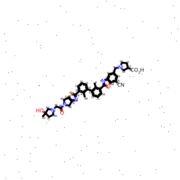 Cc1c(-c2nc3cc(CN4CCC(C(=O)O)C4)cc(C#N)c3o2)cccc1-c1cccc(-c2nc3c(s2)CN(C(=O)CN2CCC(C)(O)C2)C3)c1C